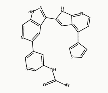 CCCC(=O)Nc1cncc(-c2cc3c(-c4cc5c(-c6ccsc6)ccnc5[nH]4)n[nH]c3cn2)c1